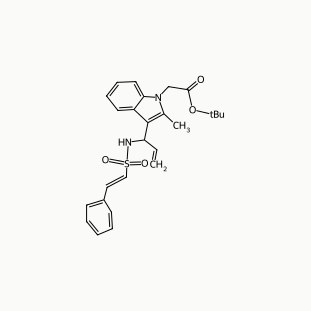 C=CC(NS(=O)(=O)C=Cc1ccccc1)c1c(C)n(CC(=O)OC(C)(C)C)c2ccccc12